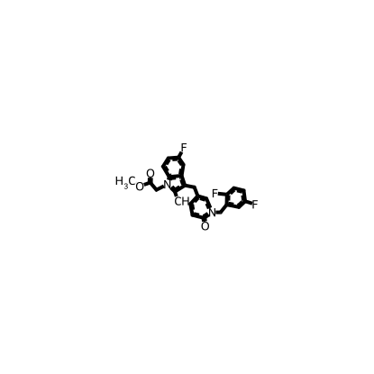 COC(=O)Cn1c(C)c(Cc2ccc(=O)n(Cc3cc(F)ccc3F)c2)c2cc(F)ccc21